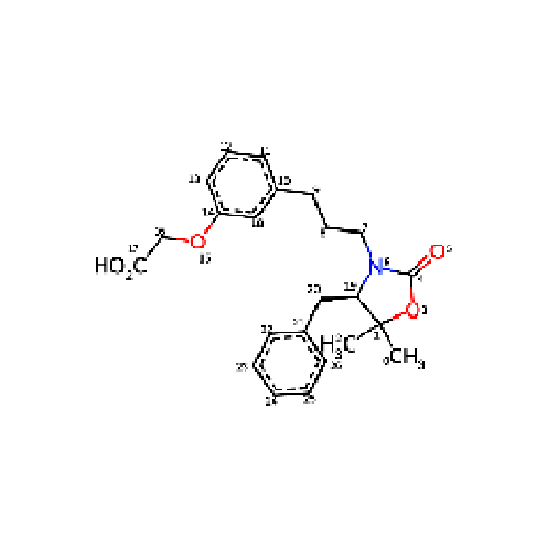 CC1(C)OC(=O)N(CCCc2cccc(OCC(=O)O)c2)[C@@H]1Cc1ccccc1